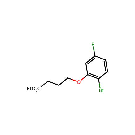 CCOC(=O)CCCOc1cc(F)ccc1Br